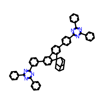 c1ccc(-c2nc(-c3ccccc3)nc(-c3ccc(-c4ccc5c(c4)C4(c6ccc(-c7cccc(-c8nc(-c9ccccc9)nc(-c9ccccc9)n8)c7)cc6-5)C5CC6CC(C5)CC4C6)cc3)n2)cc1